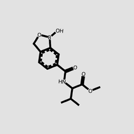 COC(=O)C(NC(=O)c1ccc2c(c1)B(O)OC2)C(C)C